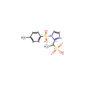 Cc1ccc(S(=O)(=O)n2ccnc2C(C)S(=O)(=O)O)cc1